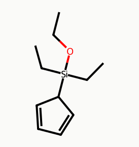 CCO[Si](CC)(CC)C1C=CC=C1